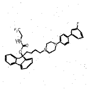 O=C(NCC(F)(F)F)OC1(CCCCN2CCN(c3ccc(-c4cccc(F)c4)cc3)CC2)c2ccccc2-c2ccccc21